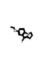 CCOc1ccc2c(c1)c(I)c1n2CCC1